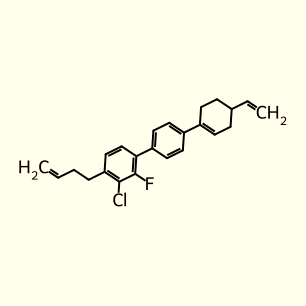 C=CCCc1ccc(-c2ccc(C3=CCC(C=C)CC3)cc2)c(F)c1Cl